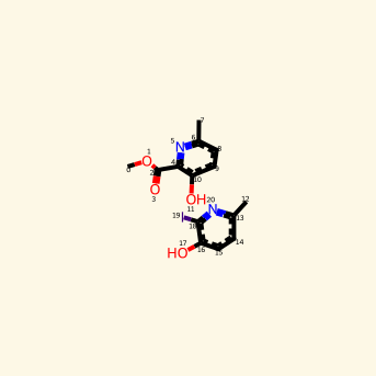 COC(=O)c1nc(C)ccc1O.Cc1ccc(O)c(I)n1